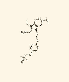 CC[n+]1c(CN)n(CCCc2ccc(OCP(C)(C)=O)cc2)c2cc(OC)ccc21